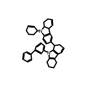 C1=CC(N2c3ccc(C4CC=Cc5c6c(n(-c7cccc(-c8ccccc8)c7)c54)CCCC6)cc3C3C=CCCC32)CCC1